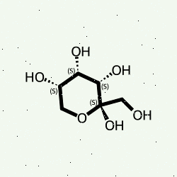 OC[C@]1(O)OC[C@H](O)[C@H](O)[C@@H]1O